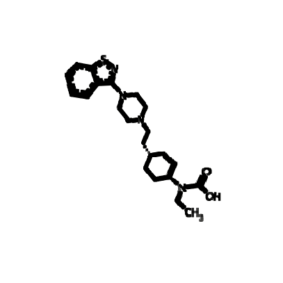 CCN(C(=O)O)[C@H]1CC[C@H](CCN2CCN(c3nsc4ccccc34)CC2)CC1